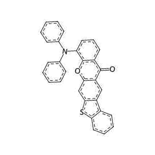 O=c1c2cc3c(cc2oc2c(N(c4ccccc4)c4ccccc4)cccc12)sc1ccccc13